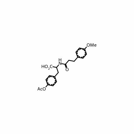 COc1ccc(CCC(=O)NC(Cc2ccc(OC(C)=O)cc2)C(=O)O)cc1